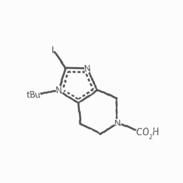 CC(C)(C)n1c(I)nc2c1CCN(C(=O)O)C2